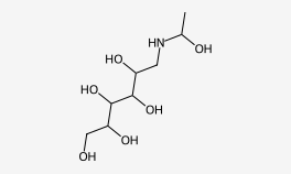 CC(O)NCC(O)C(O)C(O)C(O)CO